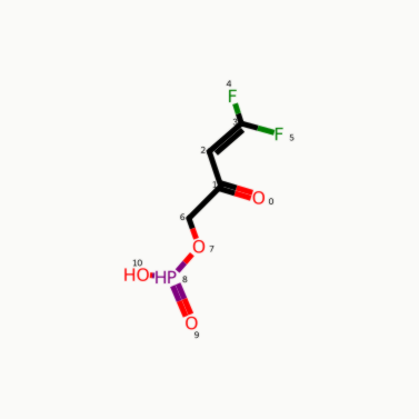 O=C(C=C(F)F)CO[PH](=O)O